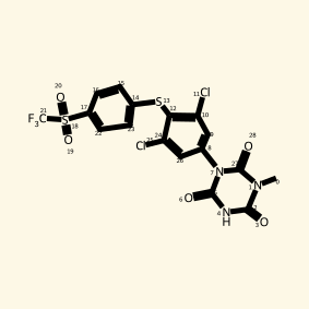 Cn1c(=O)[nH]c(=O)n(-c2cc(Cl)c(Sc3ccc(S(=O)(=O)C(F)(F)F)cc3)c(Cl)c2)c1=O